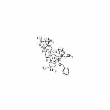 CC[Si](CC)(CC)O[C@@H]1C[C@]2(C)C(=CC[C@@H]3[C@@]4(C)CC[C@H](O)C(C)(C)[C@@H]4CC[C@]32C)[C@@H]2CC(C)(C)CC[C@]12C(=O)OCc1ccccc1